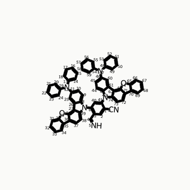 N#Cc1cc(C=N)c(-n2c3ccc(N(c4ccccc4)c4ccccc4)cc3c3c4oc5ccccc5c4ccc32)cc1-n1c2ccc(N(c3ccccc3)c3ccccc3)cc2c2c3oc4ccccc4c3ccc21